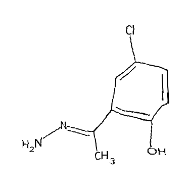 C/C(=N\N)c1cc(Cl)ccc1O